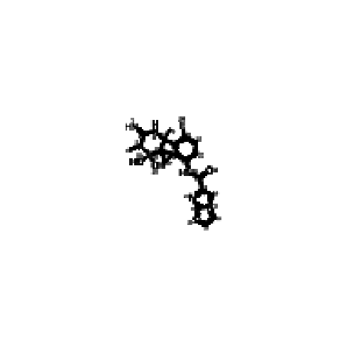 CN1C(=N)N[C@](C)(c2cc(NC(=O)c3cn4ccsc4n3)ccc2F)C2(CC2)S1(O)O